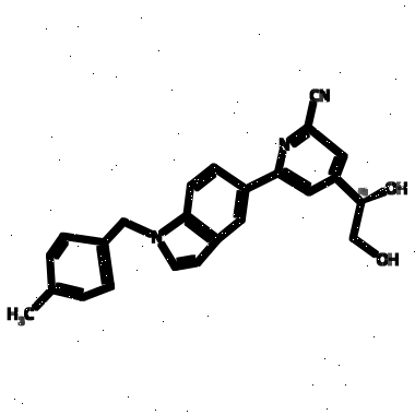 Cc1ccc(Cn2ccc3cc(-c4cc([C@@H](O)CO)cc(C#N)n4)ccc32)cc1